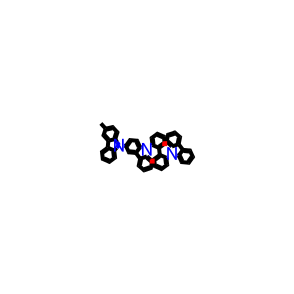 Cc1ccc2c(c1)c1ccccc1n2-c1ccc2c(c1)c1ccccc1n2-c1ccccc1-c1ccccc1-n1c2ccccc2c2ccccc21